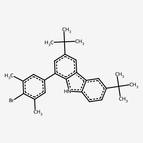 Cc1cc(-c2cc(C(C)(C)C)cc3c2[nH]c2ccc(C(C)(C)C)cc23)cc(C)c1Br